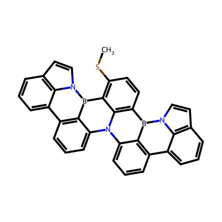 CSc1ccc2c3c1B1c4c(cccc4N3c3cccc4c3B2n2ccc3cccc-4c32)-c2cccc3ccn1c23